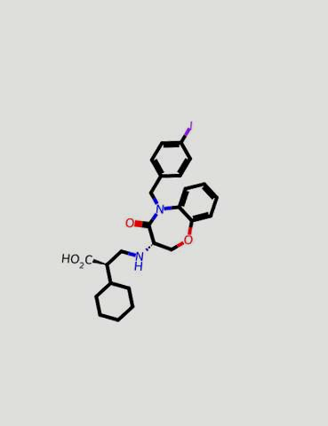 O=C(O)[C@@H](CN[C@H]1COc2ccccc2N(Cc2ccc(I)cc2)C1=O)C1CCCCC1